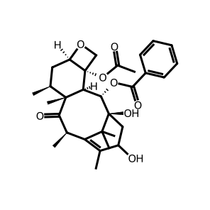 CC(=O)O[C@@]12CO[C@@H]1C[C@H](C)[C@@]1(C)C(=O)[C@H](C)C3=C(C)C(O)C[C@@](O)([C@@H](OC(=O)c4ccccc4)[C@H]21)C3(C)C